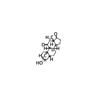 C[C@]12CC[C@@H](O)C[C@H]1CC[C@@H]1[C@H]2C(=O)C[C@]2(C)C(=O)CC[C@@H]12